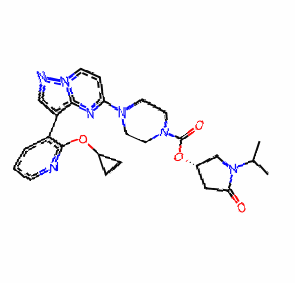 CC(C)N1C[C@@H](OC(=O)N2CCN(c3ccn4ncc(-c5cccnc5OC5CC5)c4n3)CC2)CC1=O